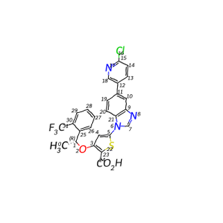 C[C@@H](Oc1cc(-n2cnc3cc(-c4ccc(Cl)nc4)ccc32)sc1C(=O)O)c1ccccc1C(F)(F)F